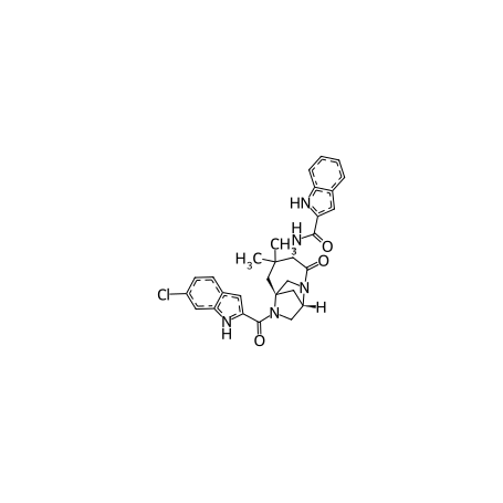 CC1(C)C[C@@]23C[C@@H](CN2C(=O)c2cc4ccc(Cl)cc4[nH]2)N(C3)C(=O)[C@H]1NC(=O)c1cc2ccccc2[nH]1